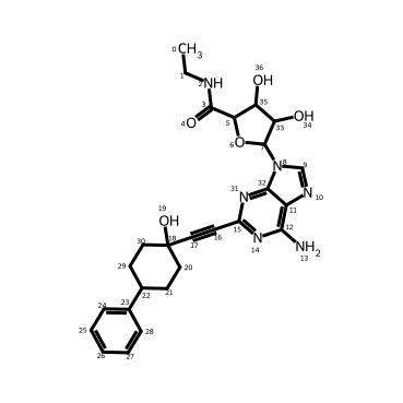 CCNC(=O)C1OC(n2cnc3c(N)nc(C#CC4(O)CCC(c5ccccc5)CC4)nc32)C(O)C1O